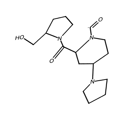 O=[C]N1CCC(N2CCCC2)CC1C(=O)N1CCCC1CO